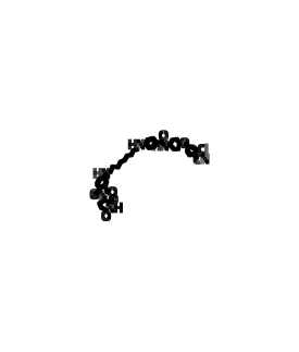 N#Cc1ccc(OC2CCC(NC(=O)c3ccc(NCCCCCCCCCNc4ccc5c(c4)C(=O)N(C4CCC(=O)NC4=O)C5=O)cc3)CC2)cc1Cl